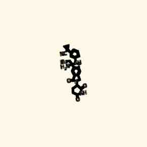 CCC(C)CC(N)(Nc1cccc(C2(C#N)CC2)c1)c1cc2c(cc1F)CN(C1CCC(=O)NC1=O)C2=O